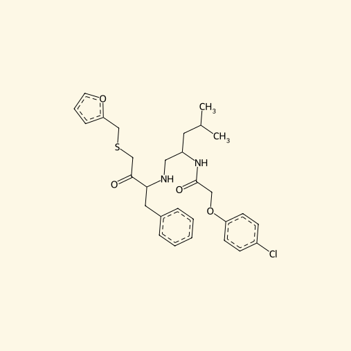 CC(C)CC(CNC(Cc1ccccc1)C(=O)CSCc1ccco1)NC(=O)COc1ccc(Cl)cc1